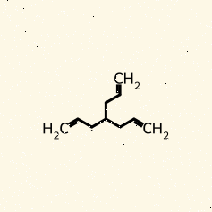 C=C[CH]C(CC=C)CC=C